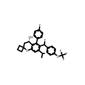 CC(C)c1cc2c(c(-c3ccc(F)cc3)c1C(F)c1ccc(OC(F)(F)F)cc1)[C@@H](O)CC1(CCC1)O2